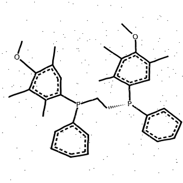 COc1c(C)cc(P(CC[P@@](c2ccccc2)c2cc(C)c(OC)c(C)c2C)c2ccccc2)c(C)c1C